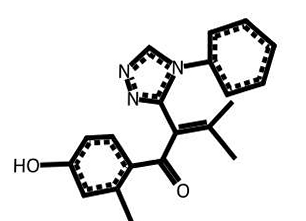 CC(C)=C(C(=O)c1ccc(O)cc1C)c1nncn1-c1ccccc1